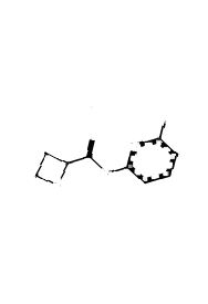 Cl.O=C(Nc1cccc(Br)n1)C1CCN1